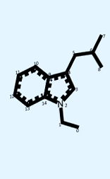 CCn1cc(CC(C)C)c2ccccc21